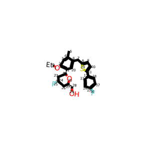 CCOc1cc(C)c(Cc2ccc(-c3ccc(F)cc3)s2)cc1[C@H]1C[C@@H](F)C[C@@H](CO)O1